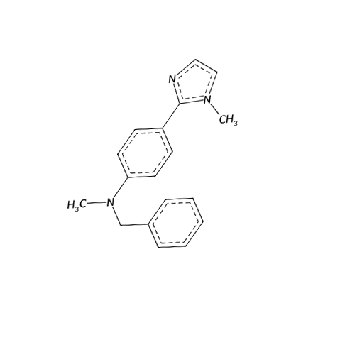 CN(Cc1ccccc1)c1ccc(-c2nccn2C)cc1